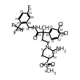 CC(CCN1CCC(S(C)(=O)=O)CC1N)(C(=O)NCc1cc(F)ccc1C(F)(F)F)c1ccc(Cl)c(Cl)c1